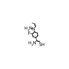 C/C=C\N(N)c1ccc(/C(N)=C/S)cc1F